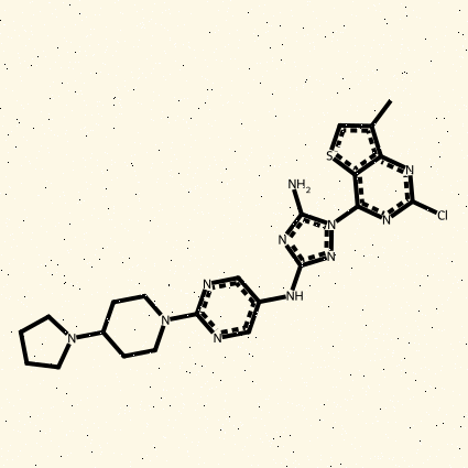 Cc1csc2c(-n3nc(Nc4cnc(N5CCC(N6CCCC6)CC5)nc4)nc3N)nc(Cl)nc12